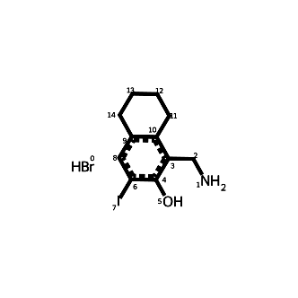 Br.NCc1c(O)c(I)cc2c1CCCC2